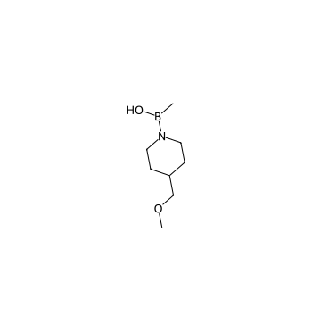 COCC1CCN(B(C)O)CC1